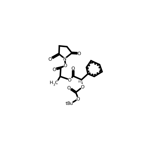 CC(OC(=O)[C@@H](OC(=O)OC(C)(C)C)c1ccccc1)C(=O)ON1C(=O)CCC1=O